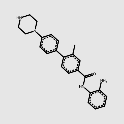 Cc1cc(C(=O)Nc2ccccc2N)ccc1-c1ccc(N2CCNCC2)cc1